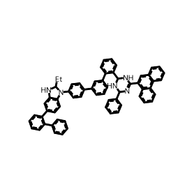 CCC1Nc2cc(-c3ccccc3-c3ccccc3)ccc2N1c1ccc(-c2cccc(-c3ccccc3C3NC(c4cc5ccccc5c5ccccc45)=NC(c4ccccc4)N3)c2)cc1